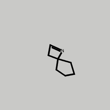 C1=NC2(C1)CCCC2